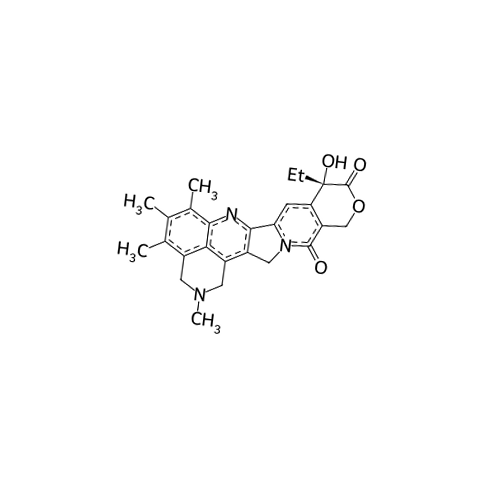 CC[C@@]1(O)C(=O)OCc2c1cc1n(c2=O)Cc2c-1nc1c(C)c(C)c(C)c3c1c2CN(C)C3